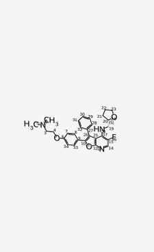 CN(C)CCOc1ccc(-c2oc3ncc(F)c(NC[C@@H]4CCCO4)c3c2-c2ccccc2)cc1